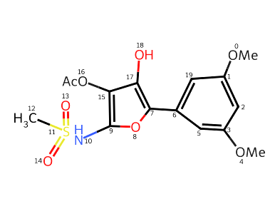 COc1cc(OC)cc(-c2oc(NS(C)(=O)=O)c(OC(C)=O)c2O)c1